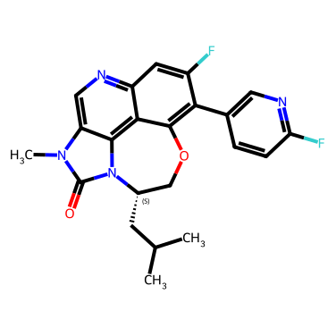 CC(C)C[C@H]1COc2c(-c3ccc(F)nc3)c(F)cc3ncc4c(c23)n1c(=O)n4C